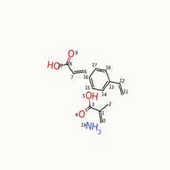 C=C(C)C(=O)O.C=CC(=O)O.C=Cc1ccccc1.N